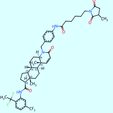 CC1CC(=O)N(CCCCCC(=O)Nc2ccc(CN3C(=O)C=C[C@]4(C)[C@H]5CC[C@]6(C)[C@@H](C(=O)Nc7cc(C(F)(F)F)ccc7C(C)(F)F)CC[C@H]6[C@@H]5CC[C@@H]34)cc2)C1=O